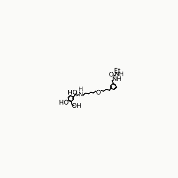 CCNC(=O)NCc1cccc(CCCCOCCCCCCNC[C@H](O)c2ccc(O)c(CO)c2)c1